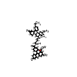 COc1cccc(-c2cc(F)ccc2[C@@H]2CC(=NOCCNC(=O)c3ccc(-c4c5ccc(=O)cc-5oc5cc(O)ccc45)c(C(=O)O)c3)c3c(C)nc(N)nc3C2)n1